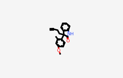 C#CCCC1(c2ccc(OC)cc2C)C(=O)Nc2ccccc21